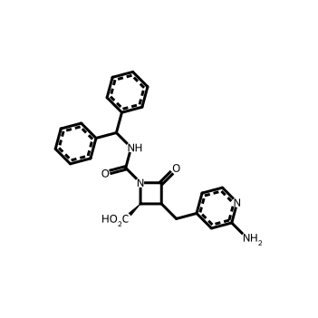 Nc1cc(CC2C(=O)N(C(=O)NC(c3ccccc3)c3ccccc3)[C@@H]2C(=O)O)ccn1